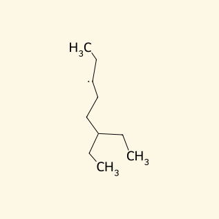 CC[CH]CCC(CC)CC